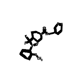 COc1ccccc1[S+]([O-])C(F)(F)C1CCN(C(=O)Nc2ccnnc2)CC1